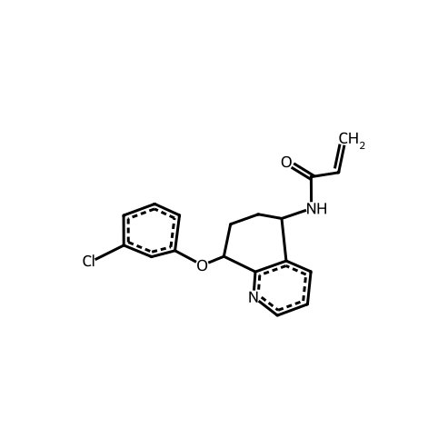 C=CC(=O)NC1CCC(Oc2cccc(Cl)c2)c2ncccc21